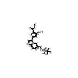 COC(=O)c1sc(-c2cnc3ccc(CO[Si](C)(C)C(C)(C)C)cn23)cc1O